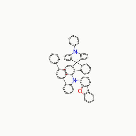 c1ccc(-c2ccc(-c3ccccc3N(c3cccc4c3-c3ccccc3C43c4ccccc4N(c4ccccc4)c4ccccc43)c3cccc4c3oc3ccccc34)cc2)cc1